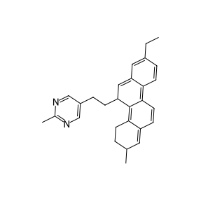 CCc1ccc2c(c1)=CC(CCc1cnc(C)nc1)c1c3c(ccc1=2)=CC(C)CC3